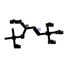 CCCCC[C@@H](/C=[CH]/[Sn]([CH2]CCC)([CH2]CCC)[CH2]CCC)O[Si](C)(C)C(C)(C)C